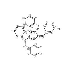 Cc1ccc2cc3c(cc2c1)-c1c(ccc2ccccc12)[Si]3(c1ccccc1)c1ccccc1